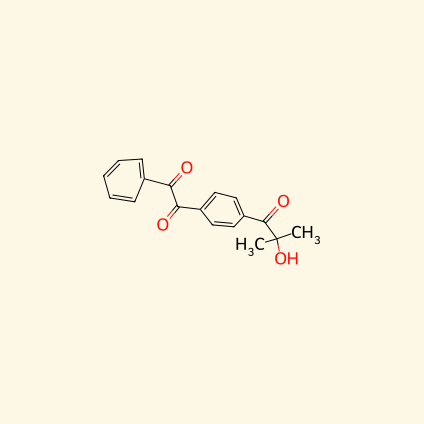 CC(C)(O)C(=O)c1ccc(C(=O)C(=O)c2ccccc2)cc1